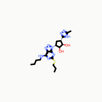 CCCCNc1nc(SCCC)nc2c1nnn2[C@@H]1C[C@H](c2nnc(C)[nH]2)[C@@H](O)[C@H]1O